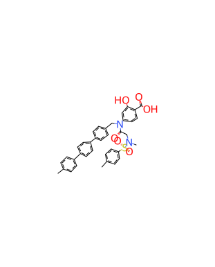 Cc1ccc(-c2ccc(-c3ccc(CN(C(=O)CN(C)S(=O)(=O)c4ccc(C)cc4)c4ccc(C(=O)O)c(O)c4)cc3)cc2)cc1